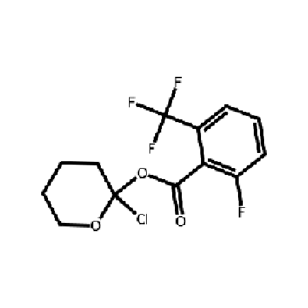 O=C(OC1(Cl)CCCCO1)c1c(F)cccc1C(F)(F)F